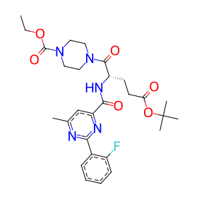 CCOC(=O)N1CCN(C(=O)[C@H](CCC(=O)OC(C)(C)C)NC(=O)c2cc(C)nc(-c3ccccc3F)n2)CC1